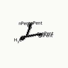 CCCCCC(CCCCC)CC(=O)OCCCCCCCCCC(CCCCCCCOC(=O)CC(CCCCC)CCCCC)CCN1CCN(C)CC1